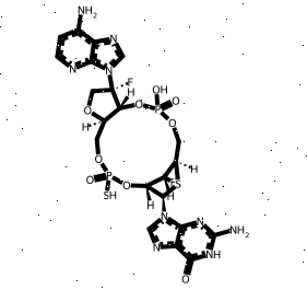 Nc1nc2c(ncn2[C@@H]2S[C@@H]3COP(=O)(O)O[C@@H]4[C@@H](COP(=O)(S)O[C@@H]2[C@H]3F)OC[C@@]4(F)n2cnc3c(N)ccnc32)c(=O)[nH]1